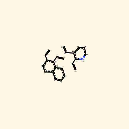 C=Cc1ccc2ccccc2c1C=C.C=Cc1cccnc1C=C